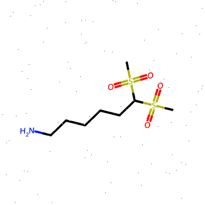 CS(=O)(=O)C(CCCCCN)S(C)(=O)=O